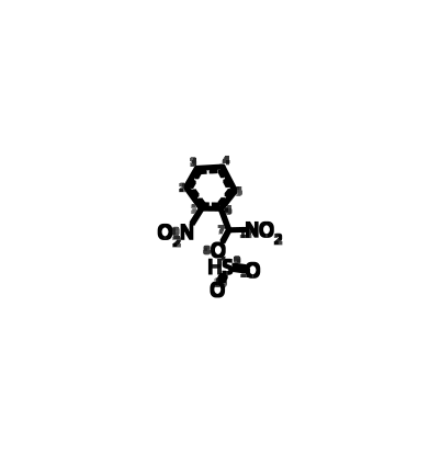 O=[N+]([O-])c1ccccc1C(O[SH](=O)=O)[N+](=O)[O-]